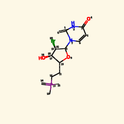 C=C1NC(=O)C=CN1C1OC(CCP(=C)(C)C)[C@@H](O)[C@H]1Br